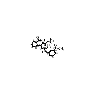 CCC(C)C1NC(=O)c2ccccc2/C1=C/C(=O)Nc1cccc(C(C)=O)c1